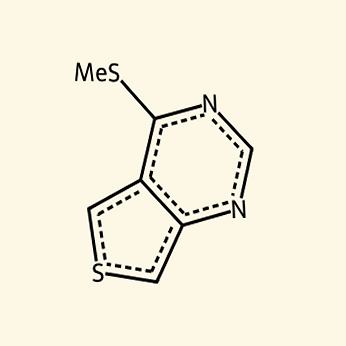 CSc1ncnc2cscc12